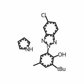 Cc1cc(-n2nc3ccc(Cl)cc3n2)c(O)c(C(C)(C)C)c1.c1cc[nH]c1